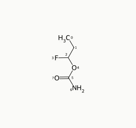 CCC(F)OC(N)=O